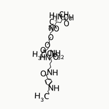 CCCNc1ccc(C(=O)NCCCCC(NC(C)(C)C(=O)COCCOCC[N@]2CC2(C)C(=O)CCC(NC)C(=O)O)C(N)=O)cc1